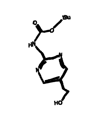 CC(C)(C)OC(=O)Nc1ncc(CO)cn1